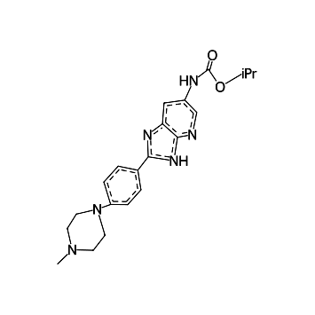 CC(C)OC(=O)Nc1cnc2[nH]c(-c3ccc(N4CCN(C)CC4)cc3)nc2c1